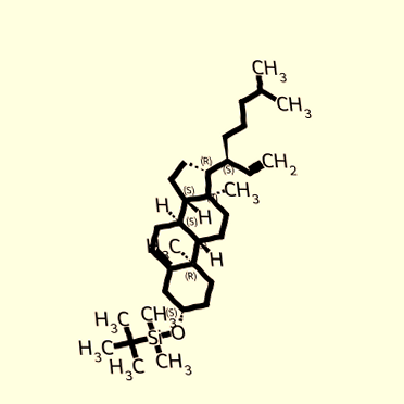 C=C[C@H](CCCC(C)C)[C@H]1CC[C@H]2[C@@H]3CC=C4C[C@@H](O[Si](C)(C)C(C)(C)C)CC[C@]4(C)[C@H]3CC[C@]12C